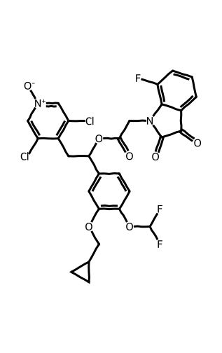 O=C(CN1C(=O)C(=O)c2cccc(F)c21)OC(Cc1c(Cl)c[n+]([O-])cc1Cl)c1ccc(OC(F)F)c(OCC2CC2)c1